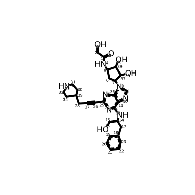 O=C(CO)NC1CC(n2cnc3c(NC(CO)Cc4ccccc4)nc(C#CCC4CCNCC4)nc32)C(O)C1O